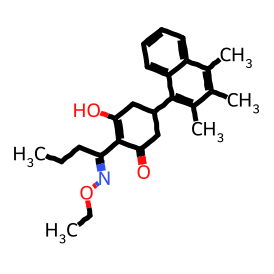 CCCC(=NOCC)C1=C(O)CC(c2c(C)c(C)c(C)c3ccccc23)CC1=O